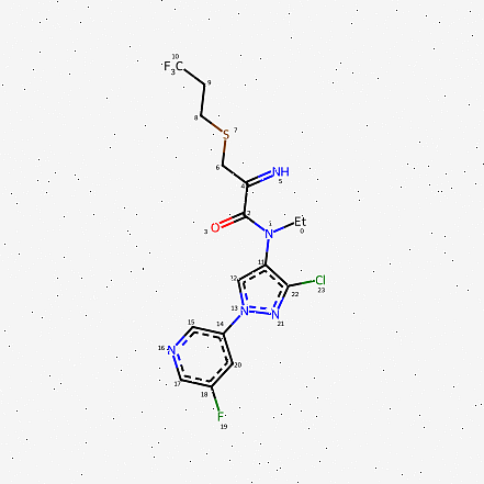 CCN(C(=O)C(=N)CSCCC(F)(F)F)c1cn(-c2cncc(F)c2)nc1Cl